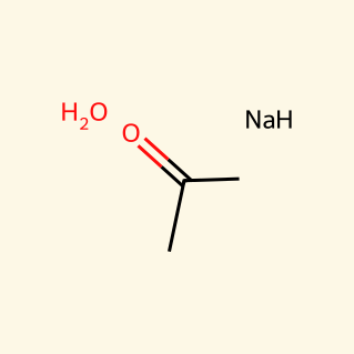 CC(C)=O.O.[NaH]